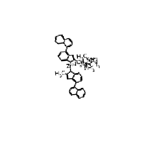 CC1=Cc2c(-c3cccc4ccccc34)cccc2[CH]1[Zr+2][CH]1C(C)=Cc2c(-c3cccc4ccccc34)cccc21.C[SiH2][Si](C)(C)C.[Cl-].[Cl-]